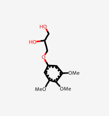 COc1cc(OCC(O)CO)cc(OC)c1OC